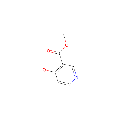 COC(=O)c1cnccc1[O]